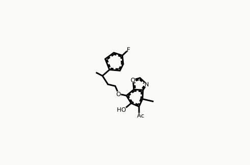 CC(=O)c1c(O)c(OCCC(C)c2ccc(F)cc2)c2ocnc2c1C